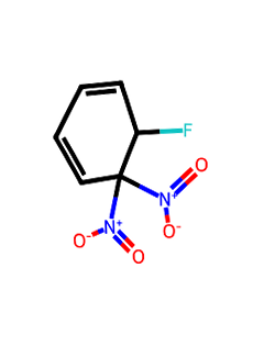 O=[N+]([O-])C1([N+](=O)[O-])C=CC=CC1F